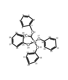 CC(Oc1ccccc1)[Si](Oc1ccccc1)(Oc1ccccc1)Oc1ccccc1